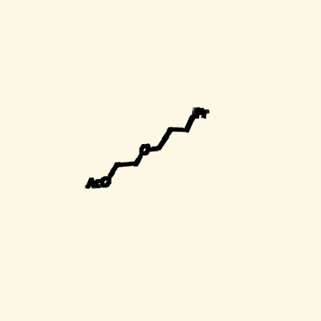 CC(=O)OCCOCCCC(C)C